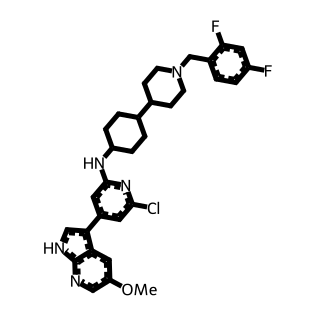 COc1cnc2[nH]cc(-c3cc(Cl)nc(NC4CCC(C5CCN(Cc6ccc(F)cc6F)CC5)CC4)c3)c2c1